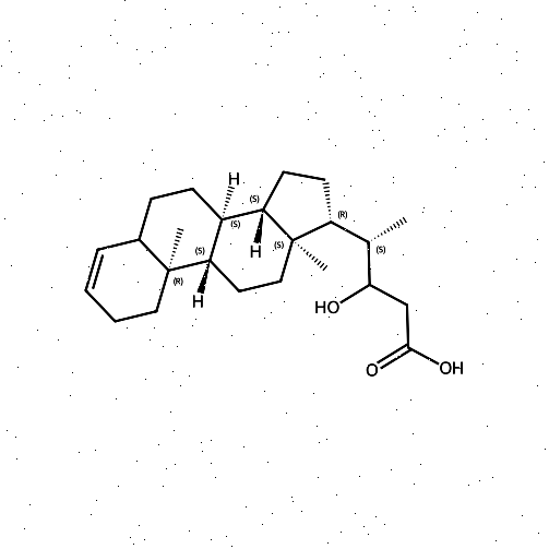 C[C@H](C(O)CC(=O)O)[C@H]1CC[C@H]2[C@@H]3CCC4C=CCC[C@]4(C)[C@H]3CC[C@]12C